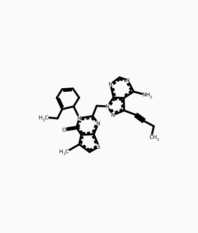 CCC#Cc1nn(Cc2nc3scc(C)c3c(=O)n2C2CC=CC=C2CC)c2ncnc(N)c12